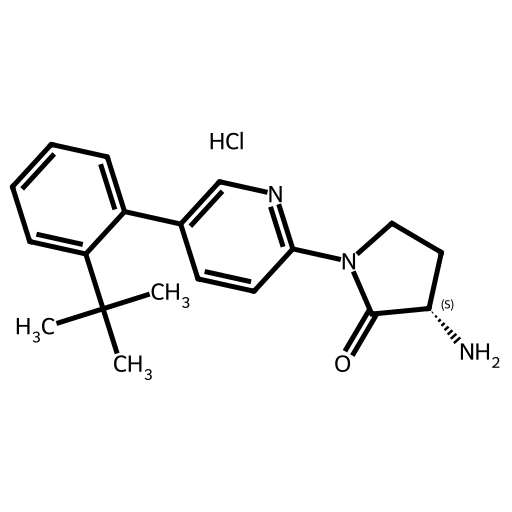 CC(C)(C)c1ccccc1-c1ccc(N2CC[C@H](N)C2=O)nc1.Cl